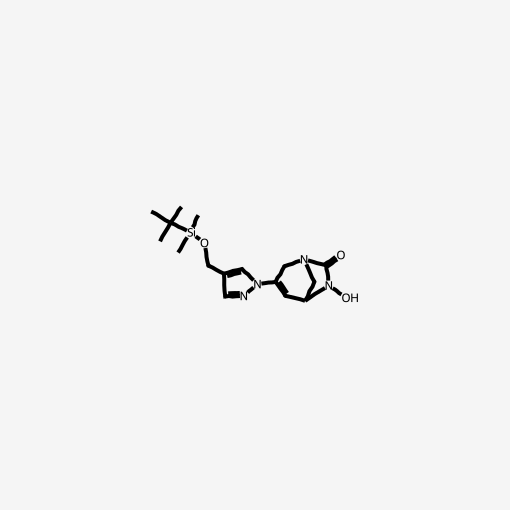 CC(C)(C)[Si](C)(C)OCc1cnn(C2=CC3CN(C2)C(=O)N3O)c1